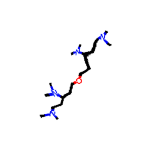 CN(C)CCC(CCOCCC(CCN(C)C)N(C)C)N(C)C